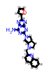 Nc1nc(N2C=C3C(CCN3Cc3ccc4ccccc4n3)C2)nc2nc(-c3ccco3)nn12